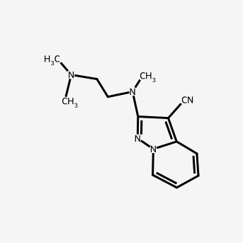 CN(C)CCN(C)c1nn2ccccc2c1C#N